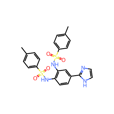 Cc1ccc(S(=O)(=O)Nc2ccc(-c3ncc[nH]3)cc2NS(=O)(=O)c2ccc(C)cc2)cc1